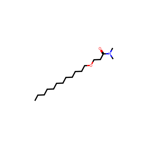 CCCCCCCCCCCCOCCC(=O)N(C)C